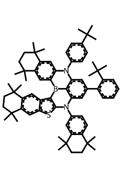 CC(C)(C)c1ccc(N2c3cc4c(cc3B3c5c2cc(-c2ccccc2C(C)(C)C)cc5N(c2ccc5c(c2)C(C)(C)CCC5(C)C)c2sc5cc6c(cc5c23)C(C)(C)CCC6(C)C)C(C)(C)CCC4(C)C)cc1